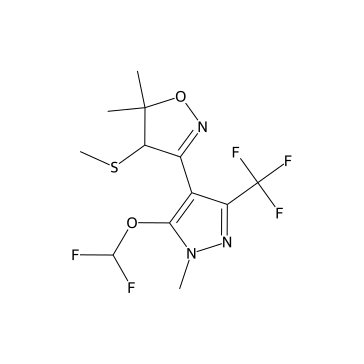 CSC1C(c2c(C(F)(F)F)nn(C)c2OC(F)F)=NOC1(C)C